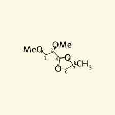 COCC(OC)C1OCC(C)O1